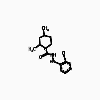 CC1CCN(C(=O)NNc2nccnc2Cl)C(C)C1